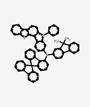 CC1(C)c2ccccc2-c2ccc(N(c3ccc4c5c6sc7ccccc7c6ccc5n(-c5ccccc5)c4c3)c3cccc4c3-c3ccccc3C43c4ccccc4-c4ccccc43)cc21